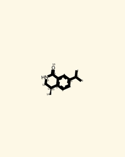 CC(C)c1ccc2c(c1)C(=O)NC[C@@H]2C